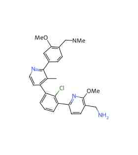 CNCc1ccc(-c2nccc(-c3cccc(-c4ccc(CN)c(OC)n4)c3Cl)c2C)cc1OC